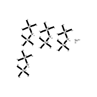 C[Si](C)(C)[N-][Si](C)(C)C.C[Si](C)(C)[N-][Si](C)(C)C.C[Si](C)(C)[N-][Si](C)(C)C.C[Si](C)(C)[N-][Si](C)(C)C.[Sn+4]